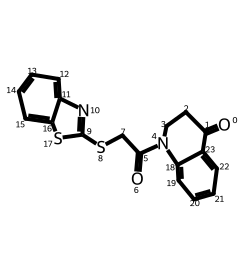 O=C1CCN(C(=O)CSc2nc3ccccc3s2)c2ccccc21